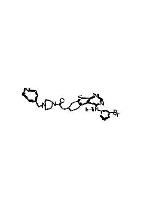 O=C(CC1CCc2c(sc3ncnc(Nc4cccc(Br)c4)c23)C1)N1CCN(Cc2ccncc2)CC1